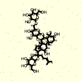 CC(C)=CCCC(C)(OC1OC(CO)C(O)C(O)C1O)C1CCC2(C)C1C(O)CC1C3(C)CCC(O)C(C)(C)C3C(OC3OC(COC4OC(CO)C(O)C(O)C4O)C(O)C(O)C3O)CC12C